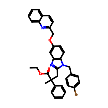 CCOC(=O)C(C)(Cc1nc2cc(OCc3ccc4ccccc4n3)ccc2n1Cc1ccc(Br)cc1)c1ccccc1